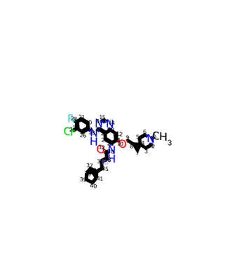 CN1CCC2(CC1)CC2COc1cc2ncnc(Nc3ccc(F)c(Cl)c3)c2cc1NC(=O)/C=C/CC1CC2CCC1C2